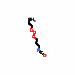 O=C=NCCCOOOCC[SiH3]